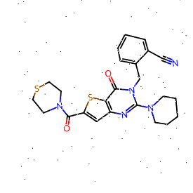 N#Cc1ccccc1Cn1c(N2CCCCC2)nc2cc(C(=O)N3CCSCC3)sc2c1=O